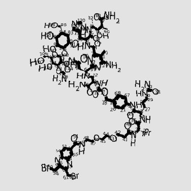 Cc1c(N)nc([C@H](CC(N)=O)NCC(NC(=O)OCc2ccc(NC(=O)[C@H](CCCNC(N)=O)NC(=O)[C@@H](NC(=O)CCOCCOCCNC(=O)c3ccc4nc(CBr)c(CBr)nc4c3)C(C)C)cc2)C(N)=O)nc1C(=O)N[C@H](C(=O)N[C@H](C)[C@@H](O)[C@H](C)C(N)=O)[C@H](O[C@@H]1C[C@@H](CO)[C@@H](O)[C@H](O)[C@@H]1O[C@H]1O[C@H](CO)[C@@H](O)[C@H](OC(N)=O)[C@@H]1O)c1cnc[nH]1